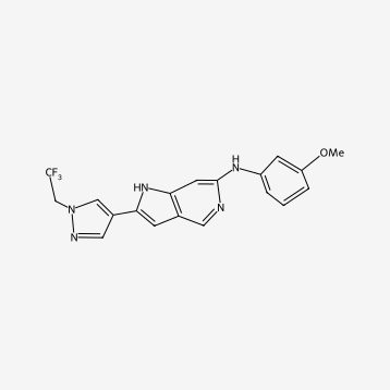 COc1cccc(Nc2cc3[nH]c(-c4cnn(CC(F)(F)F)c4)cc3cn2)c1